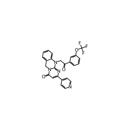 O=C(CN1c2ccccc2Cn2c1nc(-c1ccncc1)cc2=O)c1cccc(OC(F)(F)F)c1